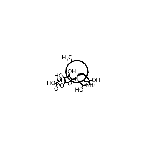 CC1CCCCCCC23C(O)NC(O)C(C=CN2C2OC(OP(=O)(O)O)C(O)C2O)(CCCCC1)C3C